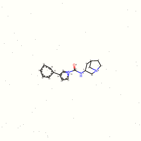 O=C(NC1CC2CCN(C2)C1)n1ccc(-c2ccccc2)c1